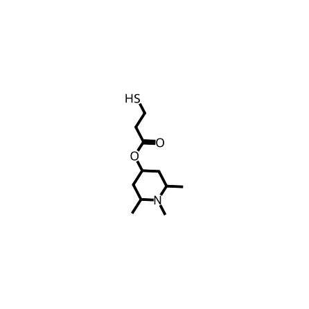 CC1CC(OC(=O)CCS)CC(C)N1C